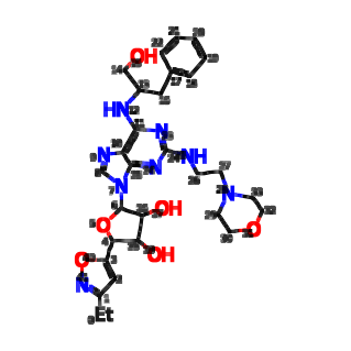 CCc1cc(C2OC(n3cnc4c(NC(CO)Cc5ccccc5)nc(NCCN5CCOCC5)nc43)C(O)C2O)on1